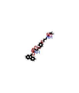 CC(C)(C)OC(=O)NCCCCOc1ccc(CCCC(NC(=O)OCC2c3ccccc3-c3ccccc32)C(=O)O)cc1